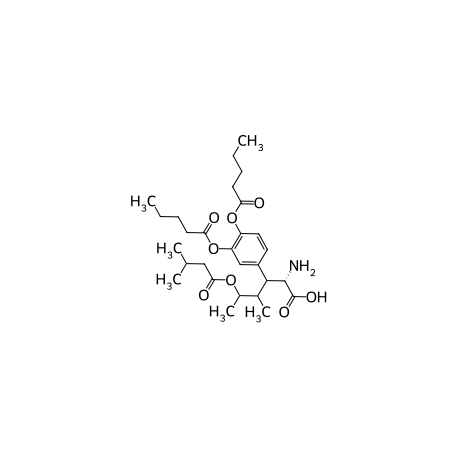 CCCCC(=O)Oc1ccc(C(C(C)C(C)OC(=O)CC(C)C)[C@H](N)C(=O)O)cc1OC(=O)CCCC